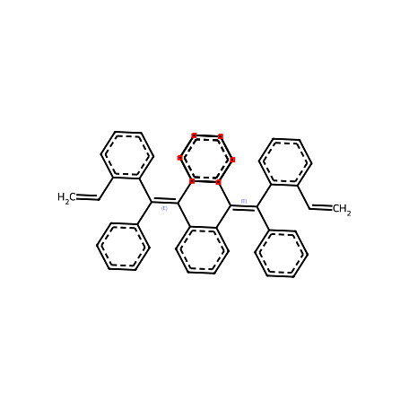 C=Cc1ccccc1/C(=C(\c1ccccc1)c1ccccc1/C(=C(\c1ccccc1)c1ccccc1C=C)c1ccccc1)c1ccccc1